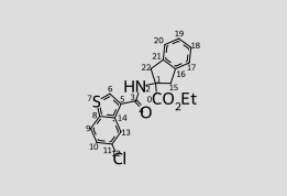 CCOC(=O)C1(NC(=O)c2csc3ccc(Cl)cc23)Cc2ccccc2C1